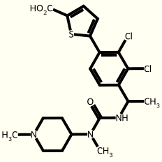 CC(NC(=O)N(C)C1CCN(C)CC1)c1ccc(-c2ccc(C(=O)O)s2)c(Cl)c1Cl